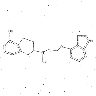 CCCN(CCOc1cccc2[nH]ccc12)C1CCc2c(O)cccc2C1